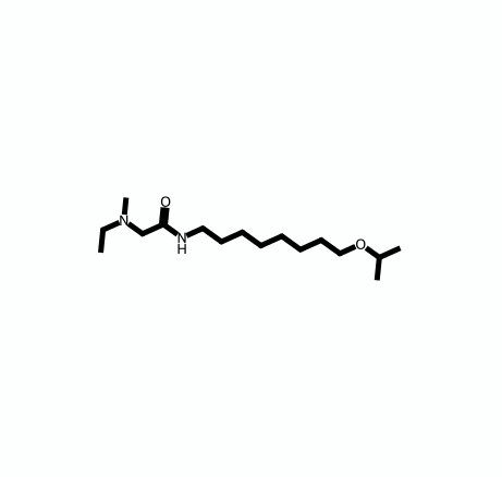 CCN(C)CC(=O)NCCCCCCCCOC(C)C